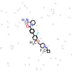 CC1(OCC2CCN(CC3(C(F)(F)F)CCC3)CC2)C=C(F)C(c2ccc(C(=O)N3CCCC[C@H]3C(N)=O)cc2)=CC1